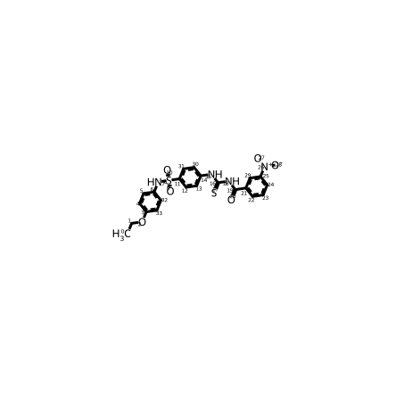 CCOc1ccc(NS(=O)(=O)c2ccc(NC(=S)NC(=O)c3cccc([N+](=O)[O-])c3)cc2)cc1